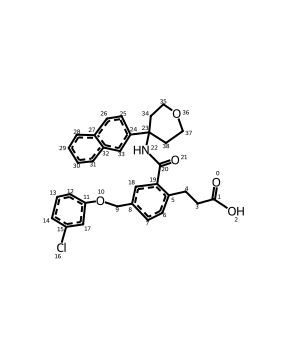 O=C(O)CCc1ccc(COc2cccc(Cl)c2)cc1C(=O)NC1(c2ccc3ccccc3c2)CCOCC1